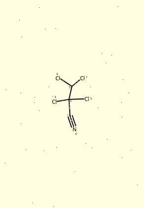 N#CC(Cl)(Cl)C(Cl)Cl